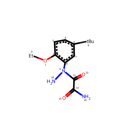 CCOc1ccc(C(C)(C)C)cc1N(N)C(=O)C(N)=O